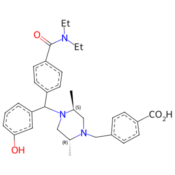 CCN(CC)C(=O)c1ccc(C(c2cccc(O)c2)N2C[C@@H](C)N(Cc3ccc(C(=O)O)cc3)C[C@@H]2C)cc1